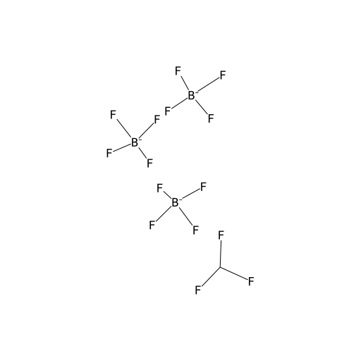 FC(F)F.F[B-](F)(F)F.F[B-](F)(F)F.F[B-](F)(F)F